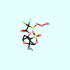 CC12OC3CC1S(=O)(=O)OC2C3OC(=O)C(F)(F)SOOO